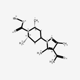 Cc1nn(C2C[C@@H](C)N(C(=O)OC(C)(C)C)[C@@H](C)C2)c(N)c1C(N)=O